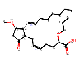 CCCCCC/C=C/[C@H]1[C@H](OC)CC(=O)[C@@H]1C/C=C\CCC(OCCC)C(=O)O